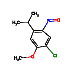 COc1cc(C(C)C)c(N=O)cc1Cl